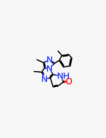 Cc1ccccc1-c1nc(C)c2c(C)nc3ccc(=O)[nH]c3n12